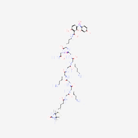 NCCCCC[C@H](NC(=O)CNC(=O)[C@H](CCCCN)NC(=O)CNC(=O)[C@H](CCCCN)NC(=O)CNC(=O)CCCC[C@@H]1SC[C@@H]2NC(=O)N[C@@H]21)C(=O)NCC(=O)N[C@@H](CCCCNC(=O)c1c(O)ccc2c1oc1cc(=O)ccc-1[n+]2[O-])C(=O)NCC(N)=O